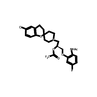 CC(=O)Nc1ccc(F)cc1OC[C@H](CN1CCC2(CCc3cc(Cl)ccc3O2)CC1)OC(=O)C(F)(F)F